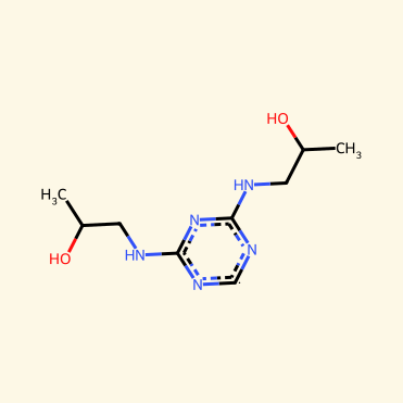 CC(O)CNc1n[c]nc(NCC(C)O)n1